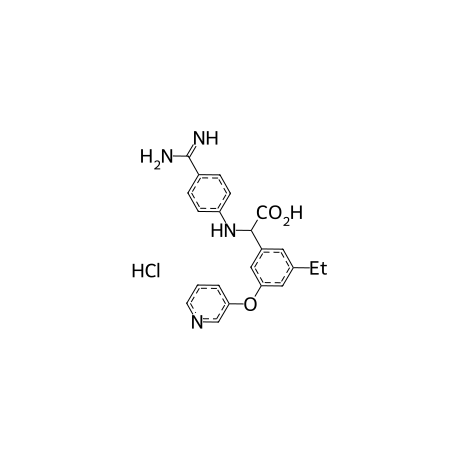 CCc1cc(Oc2cccnc2)cc(C(Nc2ccc(C(=N)N)cc2)C(=O)O)c1.Cl